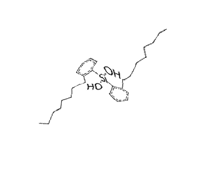 CCCCCCCCc1ccccc1[Si](O)(O)c1ccccc1CCCCCCCC